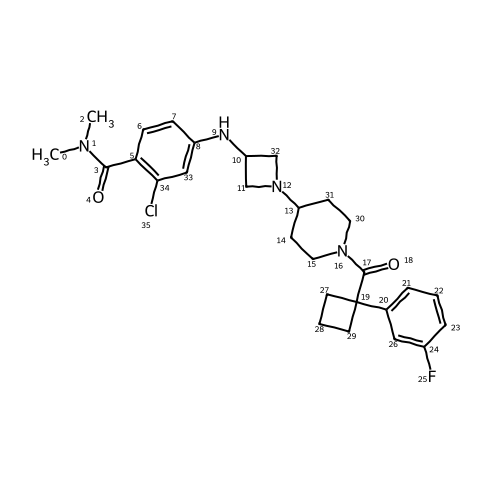 CN(C)C(=O)c1ccc(NC2CN(C3CCN(C(=O)C4(c5cccc(F)c5)CCC4)CC3)C2)cc1Cl